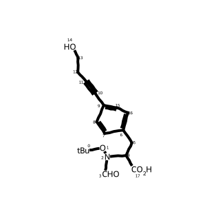 CC(C)(C)ON(C=O)C(Cc1ccc(C#CCCO)cc1)C(=O)O